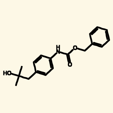 CC(C)(O)Cc1ccc(NC(=O)OCc2ccccc2)cc1